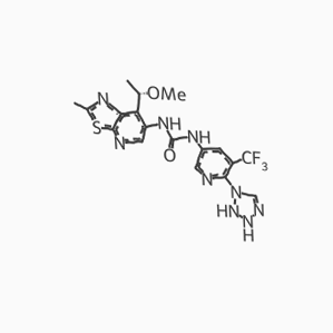 CO[C@@H](C)c1c(NC(=O)Nc2cnc(N3C=NNN3)c(C(F)(F)F)c2)cnc2sc(C)nc12